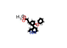 COC(=O)CCc1ccc(OC2CCCCC2)c(-c2cccc3[nH]ccc23)c1